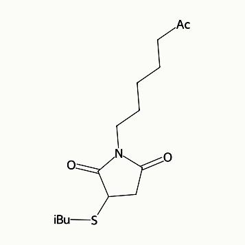 CCC(C)SC1CC(=O)N(CCCCCC(C)=O)C1=O